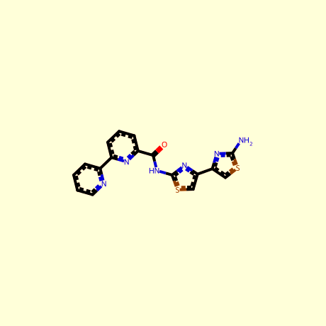 Nc1nc(-c2csc(NC(=O)c3cccc(-c4ccccn4)n3)n2)cs1